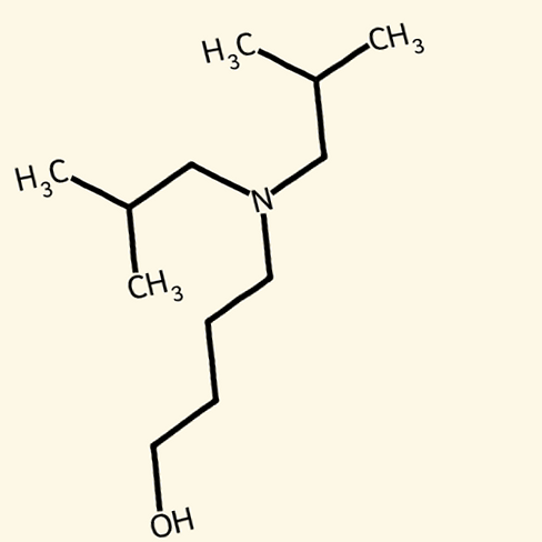 CC(C)CN(CCCCO)CC(C)C